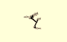 CCCCCCCCCCC(=O)CCCCCCCN(CCO)CCCCCCCC(=O)OC(CCCCCC)CCCCCCCC